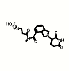 CN(C(=O)CCNC(=O)O)C(=O)c1cccc2c1CN(C1CCC(=O)NC1=O)C2